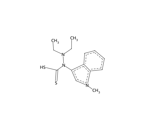 CCN(CC)N(C(=S)S)c1cn(C)c2ccccc12